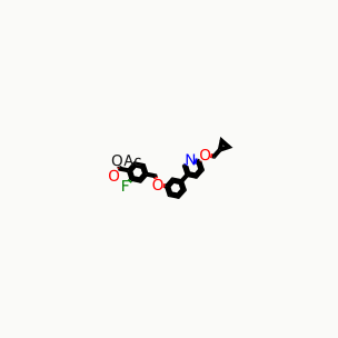 CC(=O)OC(=O)c1ccc(COc2cccc(-c3ccc(OCC4CC4)nc3)c2)cc1F